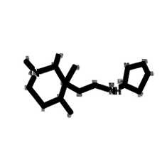 CC1CCN(C)C(C)C1(C)CCNC1CCCC1